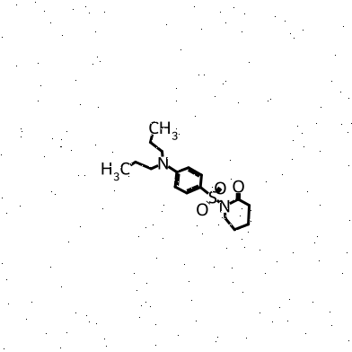 CCCN(CCC)c1ccc(S(=O)(=O)N2CCCCC2=O)cc1